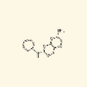 Bc1cnc2cnc(Nc3ccccc3)nc2n1